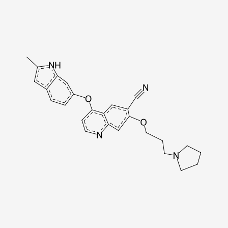 Cc1cc2ccc(Oc3ccnc4cc(OCCCN5CCCC5)c(C#N)cc34)cc2[nH]1